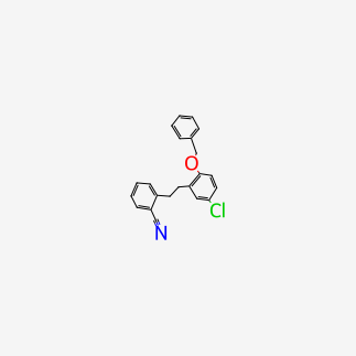 N#Cc1ccccc1CCc1cc(Cl)ccc1OCc1ccccc1